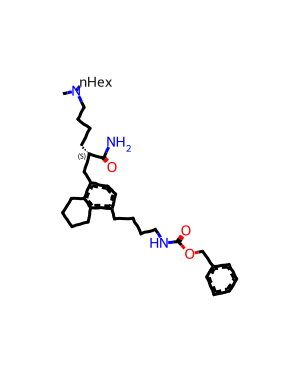 CCCCCCN(C)CCCC[C@@H](Cc1ccc(CCCCNC(=O)OCc2ccccc2)c2c1CCCC2)C(N)=O